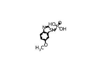 COc1ccc2c(c1)[SH](CP(=O)(O)O)C=N2